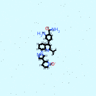 CC(C)c1cc(-c2ccc(C(N)=O)c(N)c2)c2cccc(-n3cc(-c4ccc[n+]([O-])c4)cn3)c2n1